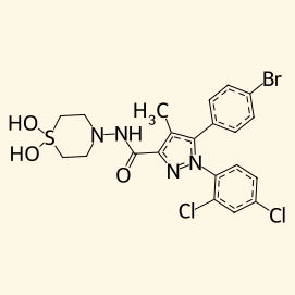 Cc1c(C(=O)NN2CCS(O)(O)CC2)nn(-c2ccc(Cl)cc2Cl)c1-c1ccc(Br)cc1